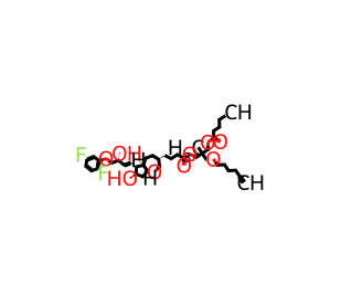 C#CCCCCOCC(C)(COC(=O)CCCC#C)COC(=O)CCC[C@H]1CC[C@@H]2[C@@H](/C=C/[C@@H](O)COc3cc(F)ccc3F)[C@H](O)C[C@@H]2OC1